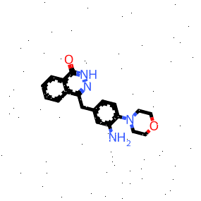 Nc1cc(Cc2n[nH]c(=O)c3ccccc23)ccc1N1CCOCC1